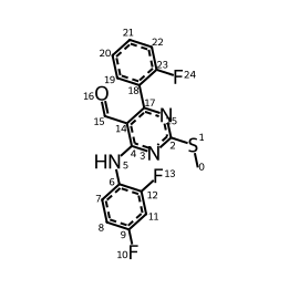 CSc1nc(Nc2ccc(F)cc2F)c(C=O)c(-c2ccccc2F)n1